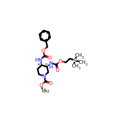 CC(C)(C)OC(=O)N1CC[C@@H](NC(=O)OCc2ccccc2)[C@@H](NC(=O)OCC[Si](C)(C)C)C1